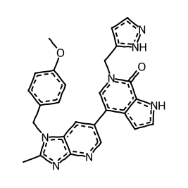 COc1ccc(Cn2c(C)nc3ncc(-c4cn(Cc5ccn[nH]5)c(=O)c5[nH]ccc45)cc32)cc1